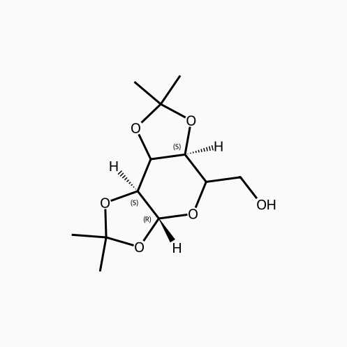 CC1(C)OC2[C@@H](O1)C(CO)O[C@@H]1OC(C)(C)O[C@@H]21